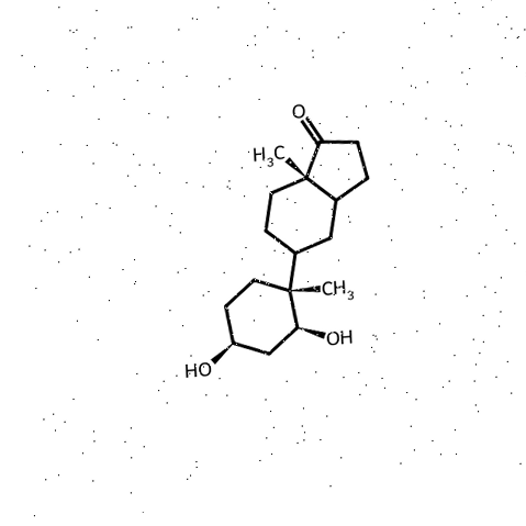 C[C@]12CCC([C@@]3(C)CC[C@H](O)C[C@@H]3O)CC1CCC2=O